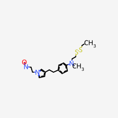 CCSSCCN(C)c1ccc(CCc2ccn(CCN=O)c2)cc1